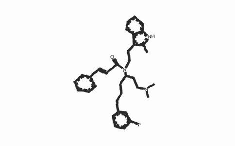 Cc1[nH]c2ccccc2c1CCN(C(=O)/C=C/c1ccccc1)C(CCCc1cccc(F)c1)CCN(C)C